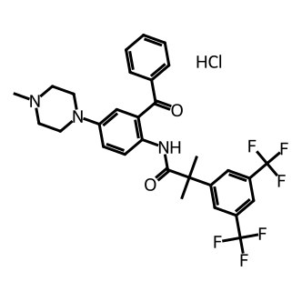 CN1CCN(c2ccc(NC(=O)C(C)(C)c3cc(C(F)(F)F)cc(C(F)(F)F)c3)c(C(=O)c3ccccc3)c2)CC1.Cl